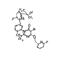 Cc1ccc(-c2nc(C(C)(C)O)ncc2F)cc1-n1c(C)nc(OCc2cccc(F)n2)c(Br)c1=O